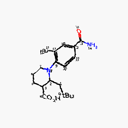 CC(C)(C)CC1C(C(=O)O)CCCN1c1ccc(C(N)=O)cc1C(C)(C)C